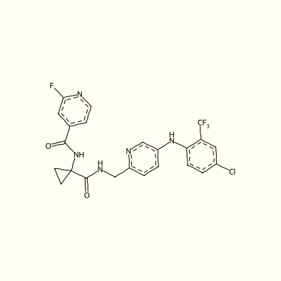 O=C(NC1(C(=O)NCc2ccc(Nc3ccc(Cl)cc3C(F)(F)F)cn2)CC1)c1ccnc(F)c1